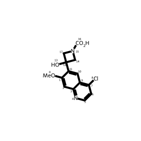 COc1cc2nccc(Cl)c2cc1C1(O)CN(C(=O)O)C1